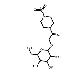 O=C(COC1OC(CO)C(O)C(O)C1O)N1CCN([SH](=O)=O)CC1